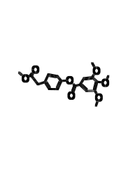 COC(=O)Cc1ccc(OC(=O)c2cc(OC)c(OC)c(OC)c2)cc1